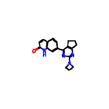 O=c1ccc2ccc(-c3nc(N4CCC4)nc4c3CCC4)cc2[nH]1